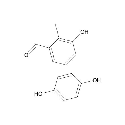 Cc1c(O)cccc1C=O.Oc1ccc(O)cc1